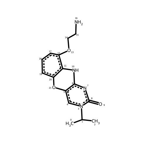 CC(C)n1cc2c(nc1=O)Nc1c(OCCN)cccc1O2